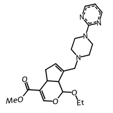 CCOC1OC=C(C(=O)OC)C2CC=C(CN3CCN(c4ncccn4)CC3)C12